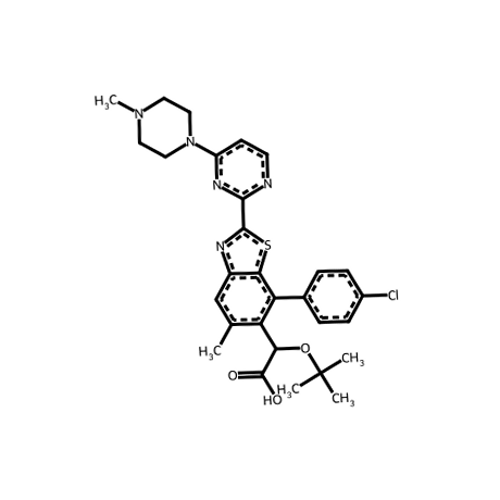 Cc1cc2nc(-c3nccc(N4CCN(C)CC4)n3)sc2c(-c2ccc(Cl)cc2)c1C(OC(C)(C)C)C(=O)O